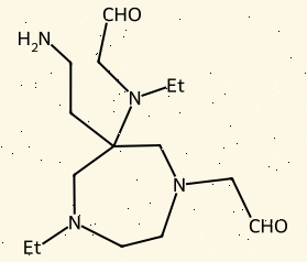 CCN1CCN(CC=O)CC(CCN)(N(CC)CC=O)C1